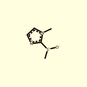 Cn1ccnc1[S+](C)[O-]